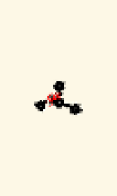 O=C(OCc1ccccc1)c1ccc(C#Cc2ccccc2)cc1OCc1ccccc1